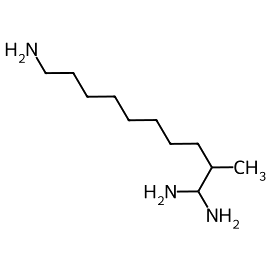 CC(CCCCCCCCN)C(N)N